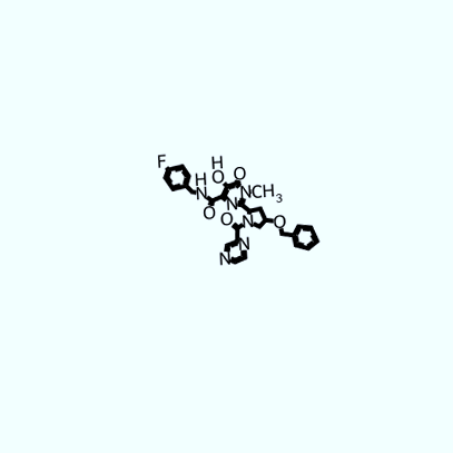 Cn1c(C2CC(OCc3ccccc3)CN2C(=O)c2cnccn2)nc(C(=O)NCc2ccc(F)cc2)c(O)c1=O